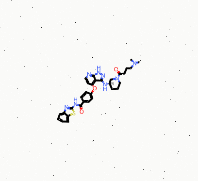 CN(C)CCCC(=O)N1CCC[C@@H](Nc2n[nH]c3nccc(Oc4ccc(C(=O)Nc5nc6ccccc6s5)cc4)c23)C1